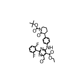 CCOC(=O)c1c(C=O)nc(-c2c(F)cccc2F)nc1Nc1ccc(C2CCCN(C(=O)OC(C)(C)C)C2=O)cc1